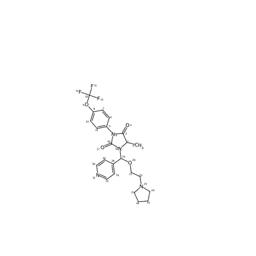 CC1C(=O)N(c2ccc(OC(F)(F)F)cc2)C(=O)N1C(OCCN1CCCC1)c1ccncc1